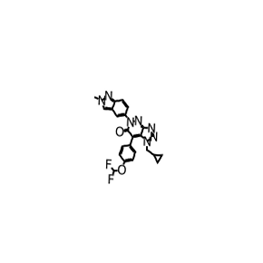 Cn1cc2cc(-n3nc4nnn(CC5CC5)c4c(-c4ccc(OC(F)F)cc4)c3=O)ccc2n1